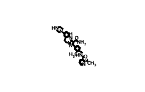 COc1ncccc1C(=O)NCc1ccc(-c2nn3c(c2C(N)=O)Nc2ccc(N4CCNCC4)cc2CC3)cc1C